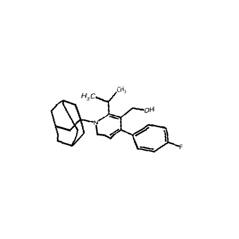 CC(C)C1=C(CO)C(c2ccc(F)cc2)=CCN1C12CC3CC(CC(C3)C1)C2